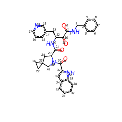 O=C(NCc1ccccc1)C(=O)[C@H](Cc1cccnc1)NC(=O)[C@@H]1CC2(CC2)CN1C(=O)c1cc2ccccc2[nH]1